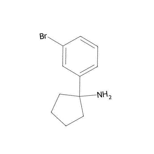 NC1(c2cccc(Br)c2)CCCC1